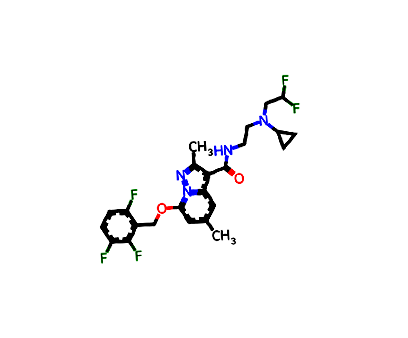 Cc1cc(OCc2c(F)ccc(F)c2F)n2nc(C)c(C(=O)NCCN(CC(F)F)C3CC3)c2c1